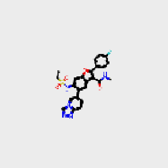 CCS(=O)(=O)Nc1cc2oc(-c3ccc(F)cc3)c(C(=O)NC)c2cc1-c1ccc2nncn2c1